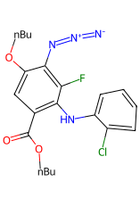 CCCCOC(=O)c1cc(OCCCC)c(N=[N+]=[N-])c(F)c1Nc1ccccc1Cl